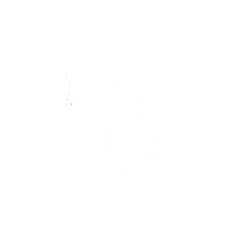 c1ccc2c(c1)C[C]1CON=C12